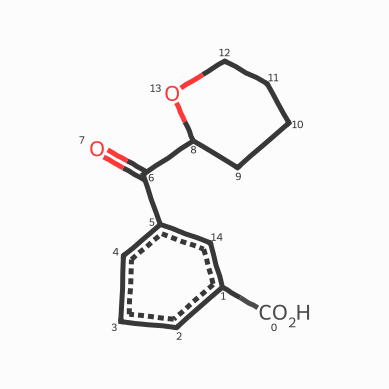 O=C(O)c1cccc(C(=O)C2CCCCO2)c1